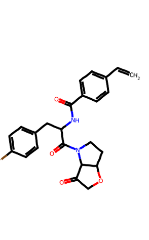 C=Cc1ccc(C(=O)NC(Cc2ccc(Br)cc2)C(=O)N2CCC3OCC(=O)C32)cc1